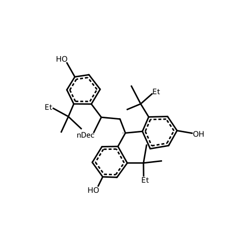 CCCCCCCCCCC(C[C](c1ccc(O)cc1C(C)(C)CC)c1ccc(O)cc1C(C)(C)CC)c1ccc(O)cc1C(C)(C)CC